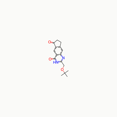 CC(C)(C)OCc1nc2cc3c(cc2c(=O)[nH]1)C(=O)CC3